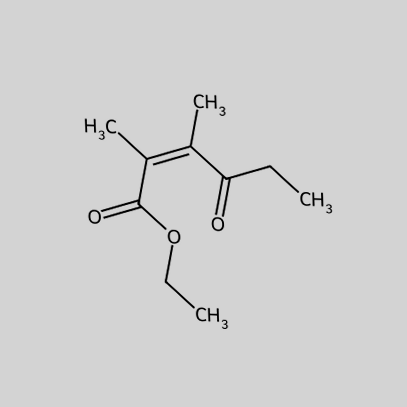 CCOC(=O)C(C)=C(C)C(=O)CC